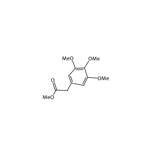 COC(=O)[CH]c1cc(OC)c(OC)c(OC)c1